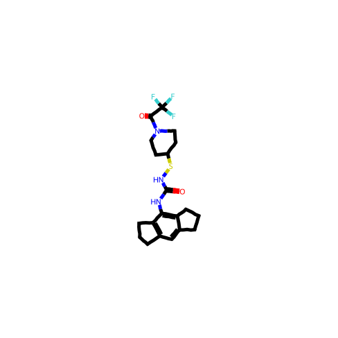 O=C(NSC1CCN(C(=O)C(F)(F)F)CC1)Nc1c2c(cc3c1CCC3)CCC2